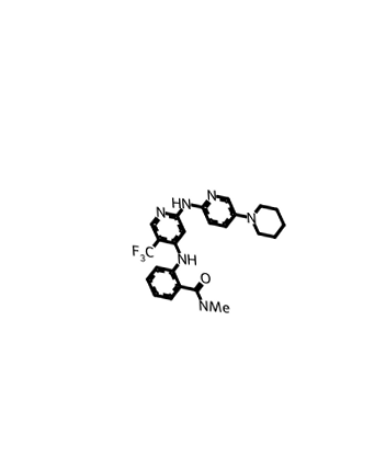 CNC(=O)c1ccccc1Nc1cc(Nc2ccc(N3CCCCC3)cn2)ncc1C(F)(F)F